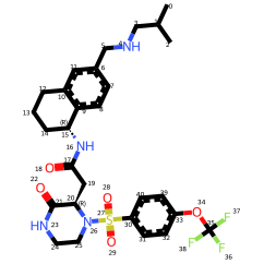 CC(C)CNCc1ccc2c(c1)CCC[C@H]2NC(=O)C[C@@H]1C(=O)NCCN1S(=O)(=O)c1ccc(OC(F)(F)F)cc1